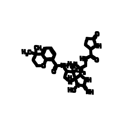 CC[C@@]1(C)C(NC(=O)c2cccc3c2OCCC3(C)C)CNC12C([C@@H](N)CNC(=O)C1CCC(=O)N1)NC(=N)N2O